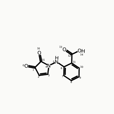 O=C1C=CN(Nc2ccccc2C(=O)O)C1=O